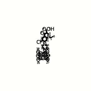 CCn1cc(C(=O)O)c(=O)c2cc(Cl)c(N3CCN(CCC(O)(P(=O)(OOC)OOC)P(=O)(OOC)OOC)CC3)cc21